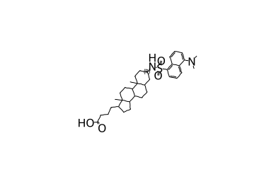 CN(C)c1cccc2c(S(=O)(=O)N[C@@H]3CCC4(C)C(CCC5C6CCC(CCCC(=O)O)C6(C)CCC54)C3)cccc12